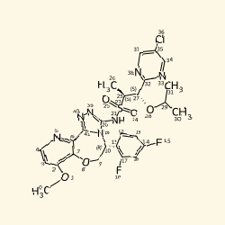 COc1ccnc2c1OC[C@@H](c1ccc(F)cc1F)n1c(NS(=O)(=O)[C@@H](C)[C@@H](OC(C)C)c3ncc(Cl)cn3)nnc1-2